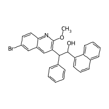 COc1nc2ccc(Br)cc2cc1C(c1ccccc1)C(O)c1cccc2ccccc12